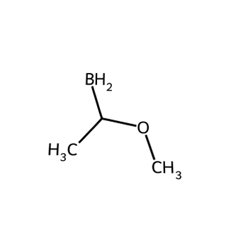 BC(C)OC